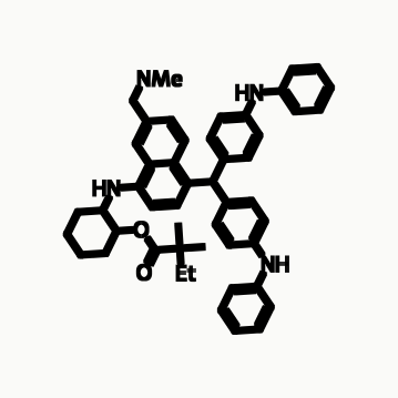 CCC(C)(C)C(=O)OC1CCCCC1Nc1ccc(C(c2ccc(Nc3ccccc3)cc2)c2ccc(Nc3ccccc3)cc2)c2ccc(CNC)cc12